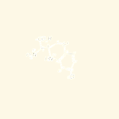 O=C(O)C(=C1CSc2ccc(Cl)cc2N1)[N+](=O)[O-]